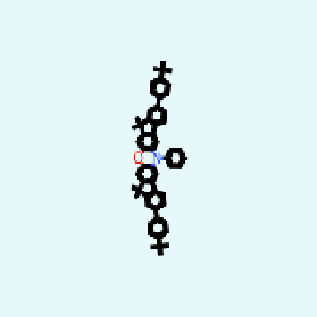 CC(C)(C)c1ccc(-c2ccc3c(c2)C(C)(C)c2cc4c(cc2-3)N(c2ccccc2)c2cc3c(cc2O4)C(C)(C)c2cc(-c4ccc(C(C)(C)C)cc4)ccc2-3)cc1